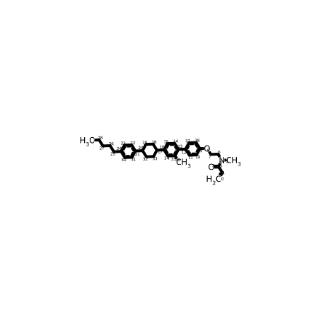 C=CC(=O)N(C)CCOc1ccc(-c2ccc(C3CCC(c4ccc(CCCCC)cc4)CC3)cc2C)cc1